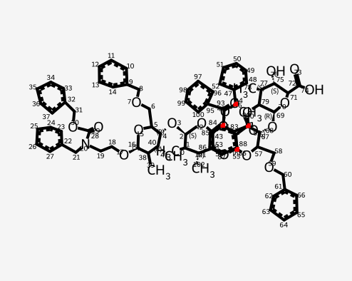 CC1[C@@H](O[C@H]2C(COCc3ccccc3)O[C@H](OCCN(Cc3ccccc3)C(=O)OCc3ccccc3)C(C)[C@H]2C)OC(COCc2ccccc2)[C@@H](O[C@@H]2OC(COCc3ccccc3)[C@@H](O[C@@H]3OC(C(=O)O)[C@@H](O)[C@H](C)C3OC(=O)c3ccccc3)[C@H](C)C2OC(=O)c2ccccc2)[C@@H]1C